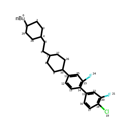 CCCCC1CCC(CCC2CCC(c3ccc(-c4ccc(Cl)c(F)c4)c(F)c3)CC2)CC1